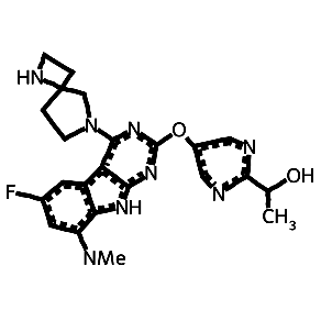 CNc1cc(F)cc2c1[nH]c1nc(Oc3cnc(C(C)O)nc3)nc(N3CCC4(CCN4)C3)c12